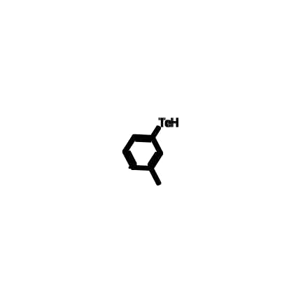 Cc1[c]ccc([TeH])c1